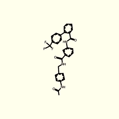 CC(=O)Nc1ccc(CNC(=O)c2cccc(NC(=O)c3ccccc3-c3ccc(C(F)(F)F)cc3)c2)cc1